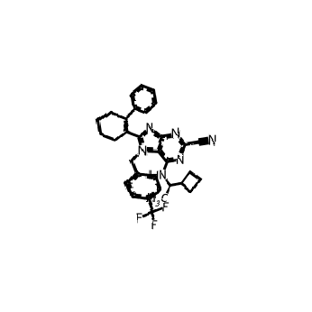 C[C@@H](Nc1nc(C#N)nc2nc(C3=C(c4ccccc4)CCCC3)n(Cc3ccc(C(F)(F)F)cc3)c12)C1CCC1